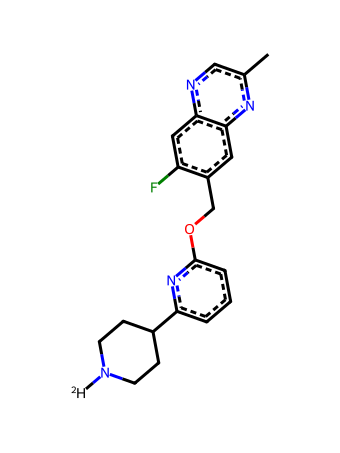 [2H]N1CCC(c2cccc(OCc3cc4nc(C)cnc4cc3F)n2)CC1